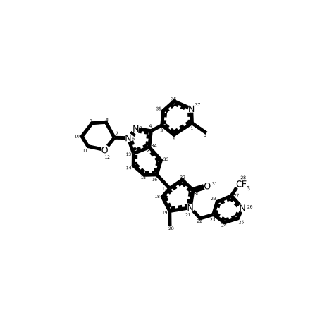 Cc1cc(-c2nn(C3CCCCO3)c3ccc(-c4cc(C)n(Cc5ccnc(C(F)(F)F)c5)c(=O)c4)cc23)ccn1